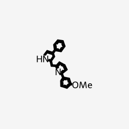 COc1cccc(-c2cccc(CC3CC(c4ccccc4)=CCN3)n2)c1